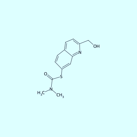 CN(C)C(=O)Sc1ccc2ccc(CO)nc2c1